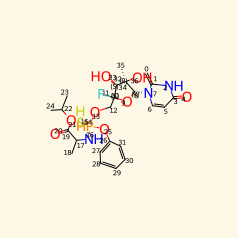 C=C1NC(=O)C=CN1[C@@H]1O[C@](F)(CO[PH](S)(NC(C)C(=O)OC(C)C)Oc2ccccc2)[C@@H](O)[C@@]1(C)O